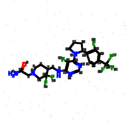 NC(=O)CN1CCC(CNc2ncnc(N3CCC[C@H]3c3ccc(C(F)(F)F)cc3F)c2F)C(F)(F)C1